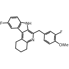 COc1ccc(Cc2nc3c(c4c2[nH]c2ccc(F)cc24)CCCC3)cc1F